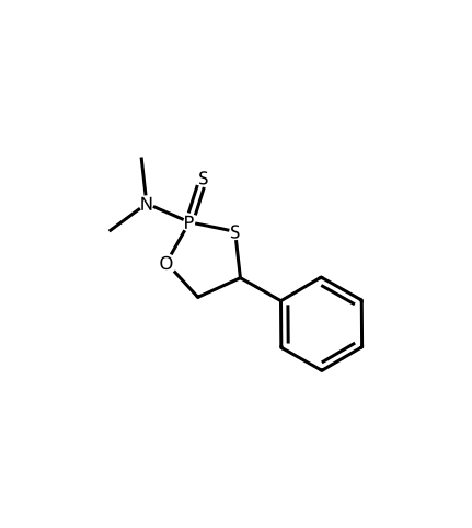 CN(C)P1(=S)OCC(c2ccccc2)S1